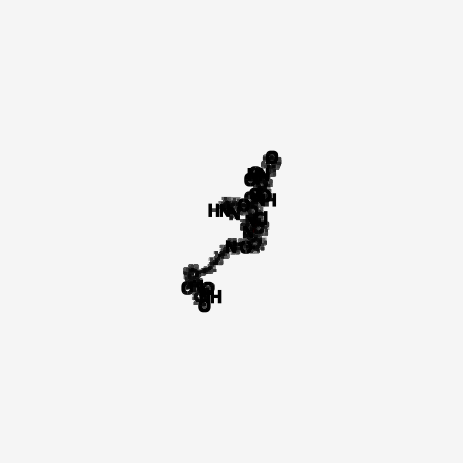 O=C1CCC(N2Cc3c(C#CCCCCCCN4CC(COc5cccc(-c6ccc(Cl)cc6)c5CN5CCN(c6ccc(C(=O)NS(=O)(=O)c7ccc(NCC8CCOCC8)c([N+](=O)[O-])c7)c(Oc7cnc8[nH]ccc8c7)c6)CC5)C4)cccc3C2=O)C(=O)N1